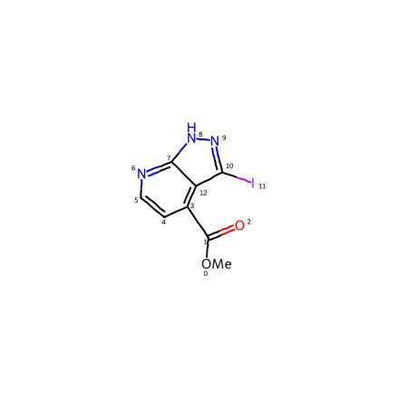 COC(=O)c1ccnc2[nH]nc(I)c12